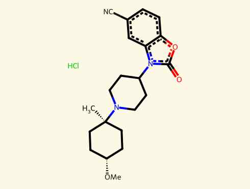 CO[C@H]1CC[C@](C)(N2CCC(n3c(=O)oc4ccc(C#N)cc43)CC2)CC1.Cl